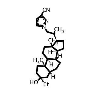 CC[C@@]1(O)CC[C@@]2(C)[C@H](CC[C@@H]3[C@@H]2CC[C@]2(C)[C@@H](C(C)Cn4ccc(C#N)n4)CC[C@@H]32)C1